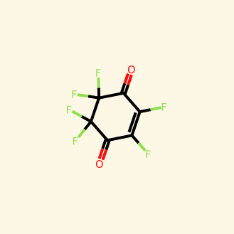 O=C1C(F)=C(F)C(=O)C(F)(F)C1(F)F